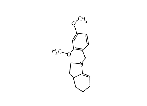 COc1ccc(CN2CCC3CCCC=C32)c(OC)c1